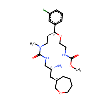 COC(=O)NCCO[C@H](CCN(C)C(=O)NC[C@H](N)C[C@H]1CCCCOC1)c1cccc(Cl)c1